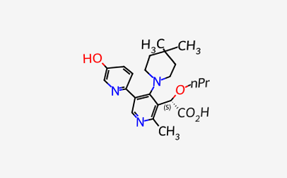 CCCO[C@H](C(=O)O)c1c(C)ncc(-c2ccc(O)cn2)c1N1CCC(C)(C)CC1